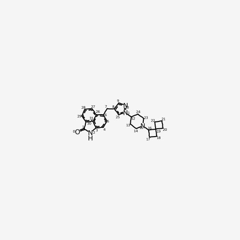 O=C1Nc2ccc(Cc3cnn(C4CCN(C5CCC56CCC6)CC4)c3)c3cccc1c23